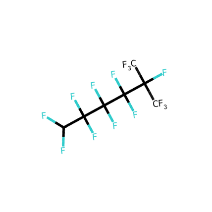 F[C](F)C(F)(F)C(F)(F)C(F)(F)C(F)(C(F)(F)F)C(F)(F)F